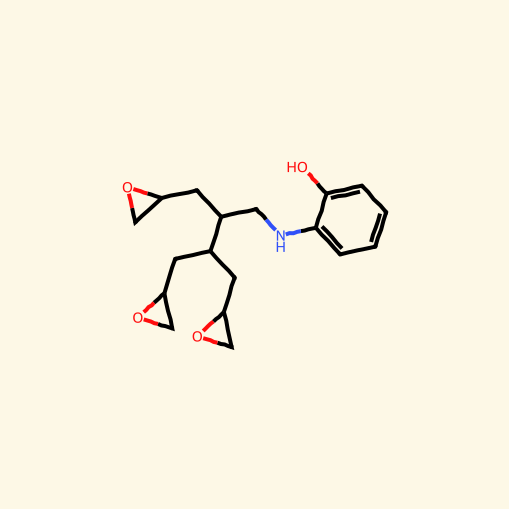 Oc1ccccc1NCC(CC1CO1)C(CC1CO1)CC1CO1